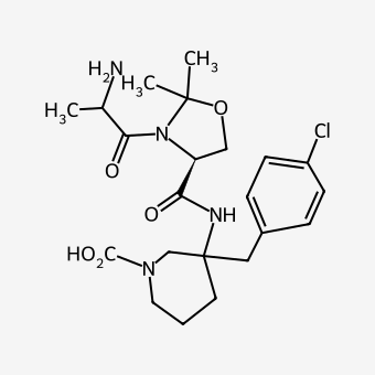 CC(N)C(=O)N1[C@H](C(=O)NC2(Cc3ccc(Cl)cc3)CCCN(C(=O)O)C2)COC1(C)C